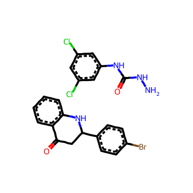 NNC(=O)Nc1cc(Cl)cc(Cl)c1.O=C1CC(c2ccc(Br)cc2)Nc2ccccc21